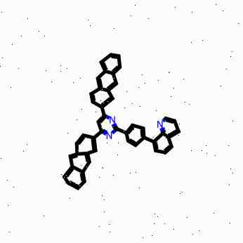 c1ccc2cc3cc(-c4cc(-c5ccc6cc7ccccc7cc6c5)nc(-c5ccc(-c6cccc7cccnc67)cc5)n4)ccc3cc2c1